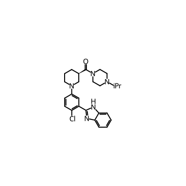 CC(C)N1CCN(C(=O)[C@@H]2CCCN(c3ccc(Cl)c(-c4nc5ccccc5[nH]4)c3)C2)CC1